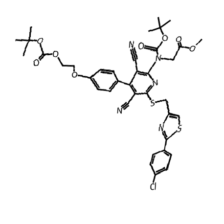 COC(=O)CN(C(=O)OC(C)(C)C)c1nc(SCc2csc(-c3ccc(Cl)cc3)n2)c(C#N)c(-c2ccc(OCCOC(=O)OC(C)(C)C)cc2)c1C#N